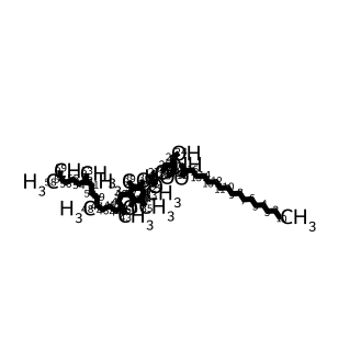 CCCCCCCCCCCCCCCCCC(=O)NC(CO)(CO)COCC(=O)Oc1c(C)c(C)c2c(c1C)CCC(C)(CCCC(C)CCCC(C)CCCC(C)C)O2